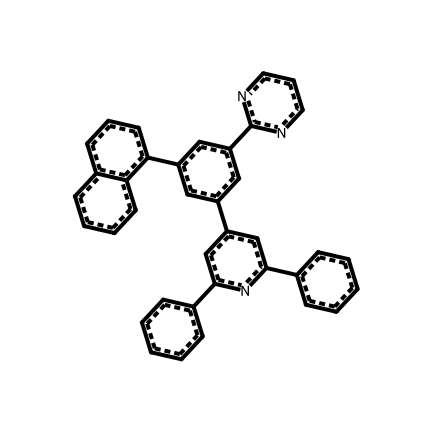 c1ccc(-c2cc(-c3cc(-c4ncccn4)cc(-c4cccc5ccccc45)c3)cc(-c3ccccc3)n2)cc1